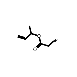 C=CC(C)OC(=O)CC(C)C